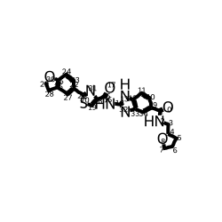 O=C(NCC1CCCO1)c1ccc2[nH]c(NC(=O)c3csc(-c4ccc5c(c4)CCO5)n3)nc2c1